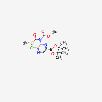 CC(C)(C)OC(=O)N(C(=O)OC(C)(C)C)c1nc(B2OC(C)(C)C(C)(C)O2)cnc1Cl